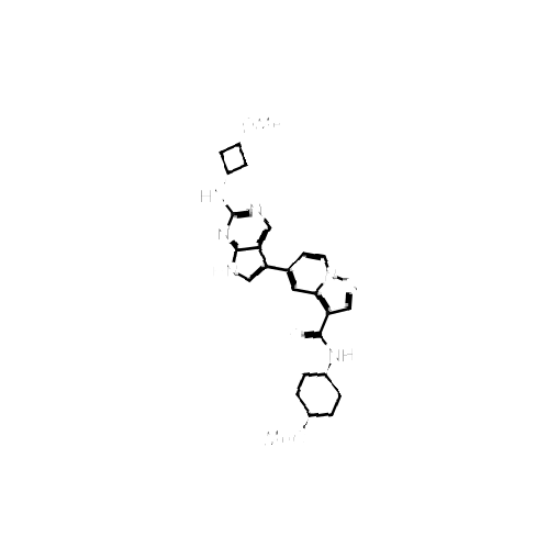 CO[C@H]1CC[C@@H](NC(=O)c2cnn3ccc(-c4c[nH]c5nc(N[C@H]6C[C@@H](OC)C6)ncc45)cc23)CC1